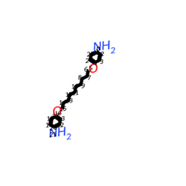 Nc1ccc(OCCCCCCCCCCOc2ccc(N)cc2)cc1